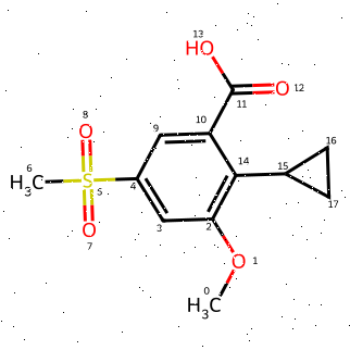 COc1cc(S(C)(=O)=O)cc(C(=O)O)c1C1CC1